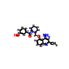 Cc1cc(N)c2c(OCC3CCCCN3C(=O)c3cccc(O)c3)cccc2n1